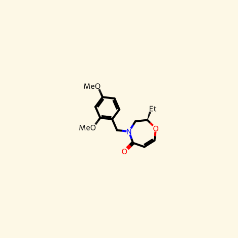 CC[C@@H]1CN(Cc2ccc(OC)cc2OC)C(=O)C=CO1